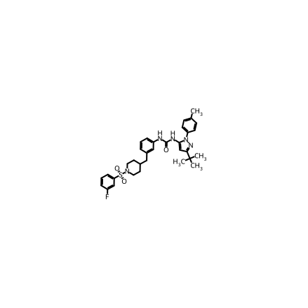 Cc1ccc(-n2nc(C(C)(C)C)cc2NC(=O)Nc2cccc(CC3CCN(S(=O)(=O)c4cccc(F)c4)CC3)c2)cc1